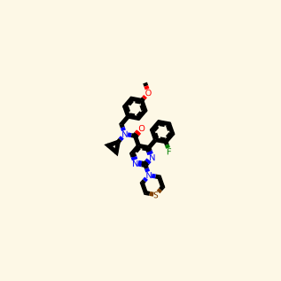 COc1ccc(CN(C(=O)c2cnc(N3CCSCC3)nc2-c2ccccc2F)C2CC2)cc1